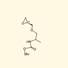 CC(COC[C@@H]1CO1)NC(=O)OC(C)(C)C